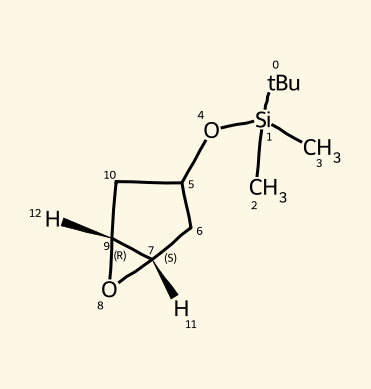 CC(C)(C)[Si](C)(C)OC1C[C@@H]2O[C@@H]2C1